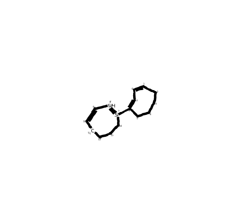 C1=C\CCCCC(/[Si]2=[SiH]/C=C\CCCC2)=C/1